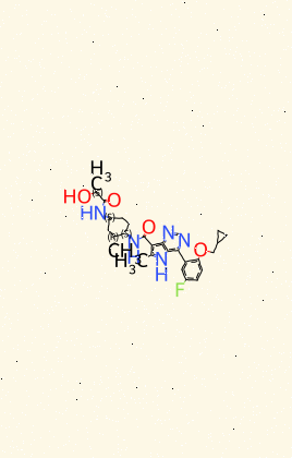 Cc1[nH]c2c(-c3cc(F)ccc3OCC3CC3)ncnc2c1C(=O)N[C@H]1CC[C@H](NC(=O)[C@H](C)O)C[C@H]1C